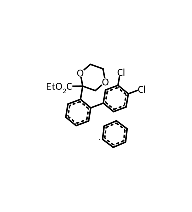 CCOC(=O)C1(c2ccccc2-c2ccc(Cl)c(Cl)c2)COCCO1.[c]1ccccc1